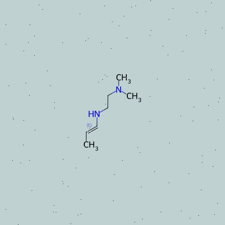 C/C=C/NCCN(C)C